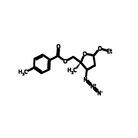 CCOC1CC(N=[N+]=[N-])[C@@](C)(COC(=O)c2ccc(C)cc2)O1